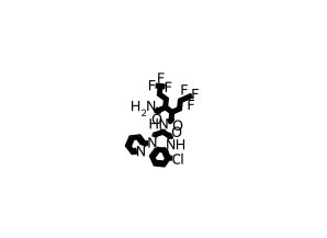 NC(=O)C(CCC(F)(F)F)C(CCC(F)(F)F)C(=O)NC1CN(c2ccccn2)c2cccc(Cl)c2NC1=O